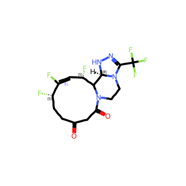 O=C1CC[C@H](F)/C(F)=C\[C@H](F)C2[C@H]3NN=C(C(F)(F)F)N3CCN2C(=O)C1